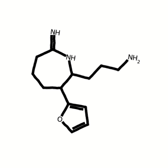 N=C1CCCC(c2ccco2)C(CCCN)N1